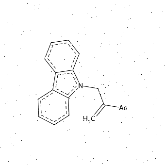 C=C(Cn1c2ccccc2c2ccccc21)C(C)=O